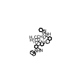 CC(C)(C)OC(=O)c1nc(N2CCc3cccc(C(=O)Nc4nc5ccccc5s4)c3C2)ccc1-c1cccc(NC23CC4CC(CC(C4)C2)C3)c1C#N